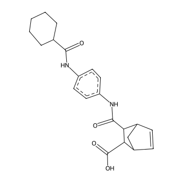 O=C(Nc1ccc(NC(=O)C2C3C=CC(C3)C2C(=O)O)cc1)C1CCCCC1